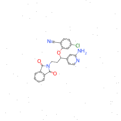 N#Cc1ccc(Cl)cc1OC(CCN1C(=O)c2ccccc2C1=O)c1ccnc(N)c1